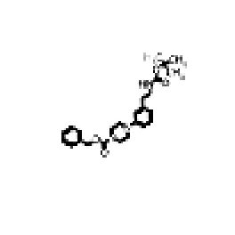 CC(C)(C)OC(=O)NCCc1cccc(N2CCN(C(=O)OCc3ccccc3)CC2)c1